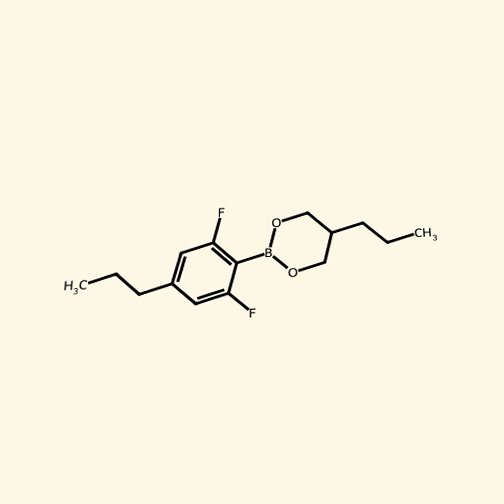 CCCc1cc(F)c(B2OCC(CCC)CO2)c(F)c1